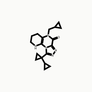 O=c1c2nnc(C3(C4CC4)CC3)n2c2c(n1CC1CC1)CCCN2